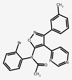 CC(=O)N(c1ccccc1Br)c1onc(-c2cccc(C)c2)c1-c1ccncn1